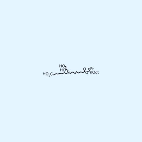 CCCCCCCCC(CCC)OC(=O)CCCCCCCN(CCCCCCCC(=O)O)CC(O)CO